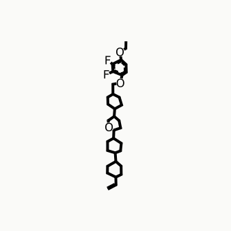 C=CC1CCC(C2CCC(C3CCC(C4CCC(COc5ccc(OCC)c(F)c5F)CC4)CO3)CC2)CC1